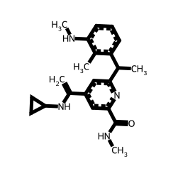 C=C(NC1CC1)c1cc(C(=O)NC)nc(C(C)c2cccc(NC)c2C)c1